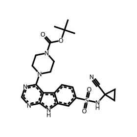 CC(C)(C)OC(=O)N1CCN(c2ncnc3[nH]c4cc(S(=O)(=O)NC5(C#N)CC5)ccc4c23)CC1